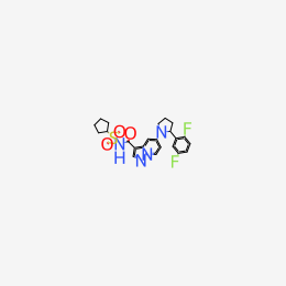 O=C(NS(=O)(=O)C1CCCC1)c1cnn2ccc(N3CCCC3c3cc(F)ccc3F)cc12